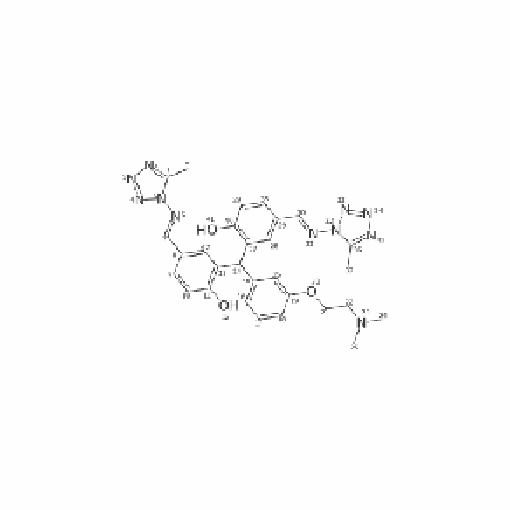 Cc1nnnn1N=Cc1ccc(O)c(C(c2cccc(OCCN(C)C)c2)c2cc(C=Nn3nnnc3C)ccc2O)c1